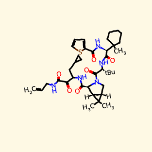 C=CCNC(=O)C(=O)C(CC1CC1)NC(=O)[C@@H]1[C@@H]2[C@H](CN1C(=O)[C@@H](NC(=O)[C@@H](NC(=O)c1cccs1)C1(C)CCCCC1)C(C)(C)C)C2(C)C